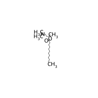 CCCCCCCCCCCC(=O)OC(C)CCN(C)C